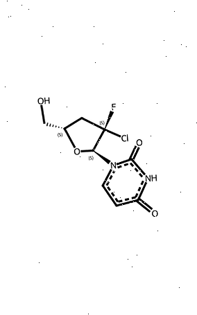 O=c1ccn([C@H]2O[C@H](CO)C[C@]2(F)Cl)c(=O)[nH]1